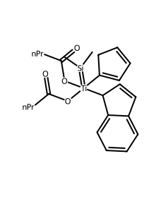 CCCC(=O)[O][Ti]([O]C(=O)CCC)([C]1=CC=CC1)([CH]1C=Cc2ccccc21)=[Si](C)C